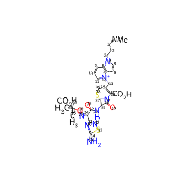 CNCCCn1ccc2c1ccc[n+]2CC1=C(C(=O)O)N2C(=O)C(NC(=O)/C(=N\OC(C)(C)C(=O)O)c3nsc(N)n3)C2SC1